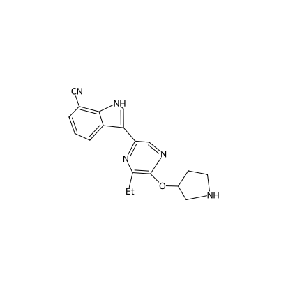 CCc1nc(-c2c[nH]c3c(C#N)cccc23)cnc1OC1CCNC1